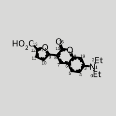 CCN(CC)c1ccc2cc(-c3ccc(C(=O)O)o3)c(=O)oc2c1